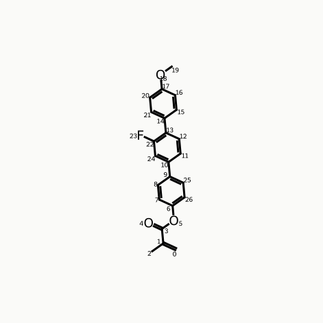 C=C(C)C(=O)Oc1ccc(-c2ccc(-c3ccc(OC)cc3)c(F)c2)cc1